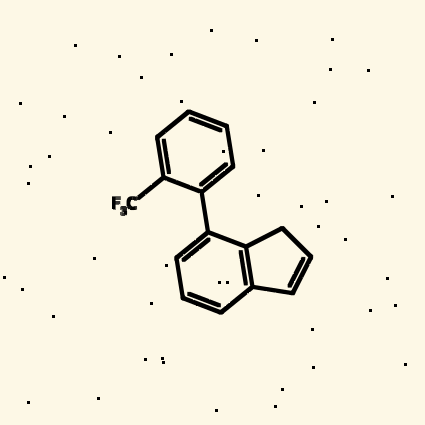 FC(F)(F)c1ccccc1-c1cccc2c1CC=C2